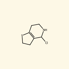 ClC1NCCC2=C1CCS2